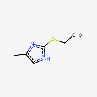 Cc1c[nH]c(SC[C]=O)n1